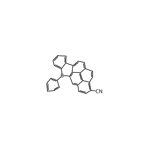 N#Cc1ccc2cc3c4c(ccc5ccc1c2c54)-c1ccccc1B3c1ccccc1